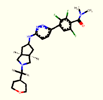 [2H]C([2H])(C1CCOCC1)N1C[C@H]2CC(Nc3ccc(-c4cc(F)c(C(=O)N(C)C)c(F)c4F)nn3)C[C@H]2C1